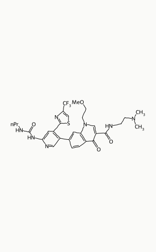 CCCNC(=O)Nc1cc(-c2nc(C(F)(F)F)cs2)c(-c2ccc3c(=O)c(C(=O)NCCN(C)C)cn(CCOC)c3c2)cn1